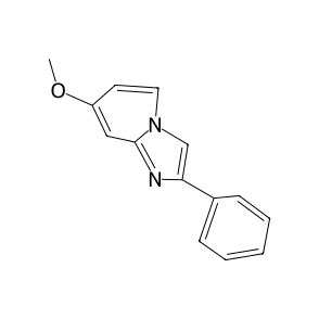 COc1ccn2cc(-c3ccccc3)nc2c1